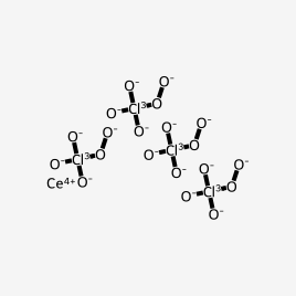 [Ce+4].[O-]O[Cl+3]([O-])([O-])[O-].[O-]O[Cl+3]([O-])([O-])[O-].[O-]O[Cl+3]([O-])([O-])[O-].[O-]O[Cl+3]([O-])([O-])[O-]